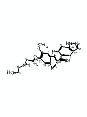 COc1cc2c(Nc3ccc4cn[nH]c4c3)c(C#N)cnc2cc1OCCNCCO